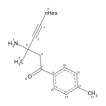 CCCCCCC#CC(C)(N)CC(=O)c1ccc(C)cc1